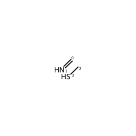 C=N.CS